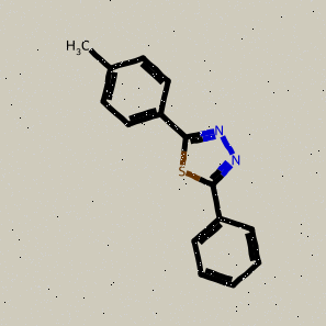 Cc1ccc(-c2nnc(-c3ccccc3)s2)cc1